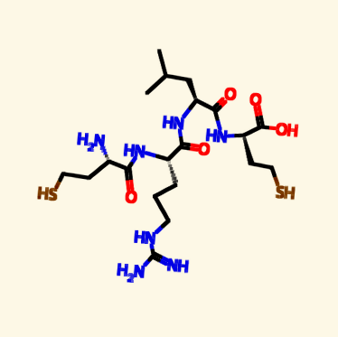 CC(C)C[C@H](NC(=O)[C@H](CCCNC(=N)N)NC(=O)[C@@H](N)CCS)C(=O)N[C@H](CCS)C(=O)O